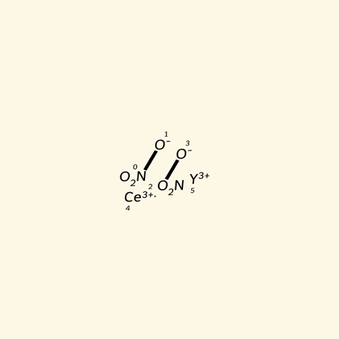 O=[N+]([O-])[O-].O=[N+]([O-])[O-].[Ce+3].[Y+3]